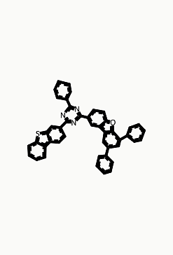 c1ccc(-c2cc(-c3ccccc3)c3oc4ccc(-c5nc(-c6ccccc6)nc(-c6ccc7c(c6)sc6ccccc67)n5)cc4c3c2)cc1